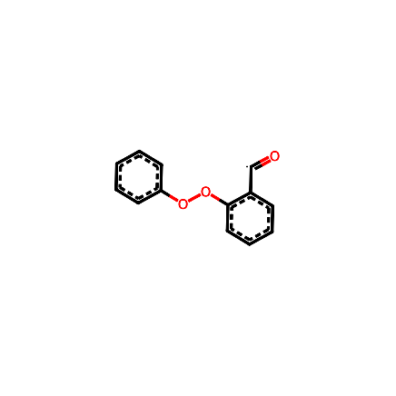 O=[C]c1ccccc1OOc1ccccc1